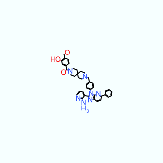 Nc1ncccc1-c1nc2ccc(-c3ccccc3)nc2n1-c1ccc(CN2CCC3(CC2)CCN(C(=O)c2ccc(C=O)c(O)c2)CC3)cc1